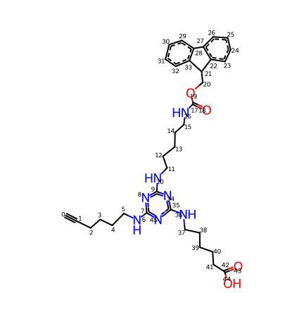 C#CCCCCNc1nc(NCCCCCNC(=O)OCC2c3ccccc3-c3ccccc32)nc(NCCCCCC(=O)O)n1